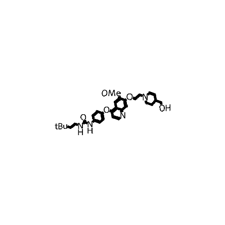 COc1cc2c(Oc3ccc(NC(=O)NCCC(C)(C)C)cc3)ccnc2cc1OCCN1CCC(CO)CC1